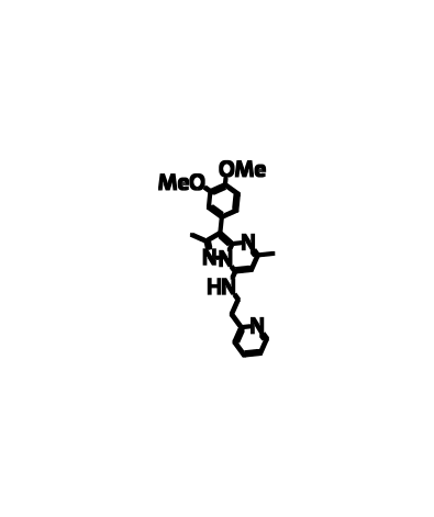 COc1ccc(-c2c(C)nn3c(NCCc4ccccn4)cc(C)nc23)cc1OC